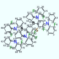 Fc1cccc(F)c1N(c1ccccc1)c1cc2c3c(c1)N(c1c(F)cccc1F)c1ccccc1B3c1cc3c(cc1S2)N(c1ccccc1C(F)(F)F)c1cc(N(c2ccccc2)c2c(F)cccc2F)cc2c1B3c1ccccc1N2c1c(F)cccc1F